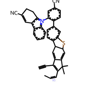 C#CC1=C(/C=C\C)C(C)(C)C2=CC3Sc4cc(-c5ccc(C#N)cc5-n5c6c(c7ccccc75)C=C(C#N)CC6)ccc4C3C=C21